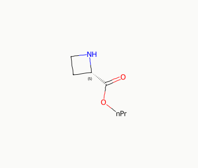 CCCOC(=O)[C@@H]1CCN1